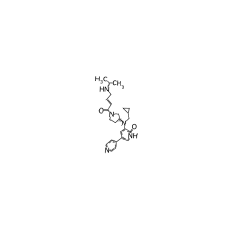 CC(C)NCC=CC(=O)N1CC[C@H](N(CC2CC2)c2cc(-c3ccncc3)c[nH]c2=O)C1